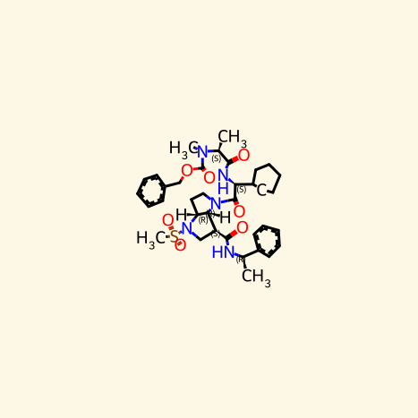 C[C@@H](NC(=O)[C@H]1CN(S(C)(=O)=O)[C@@H]2CCN(C(=O)[C@@H](NC(=O)[C@H](C)N(C)C(=O)OCc3ccccc3)C3CCCCC3)[C@H]12)c1ccccc1